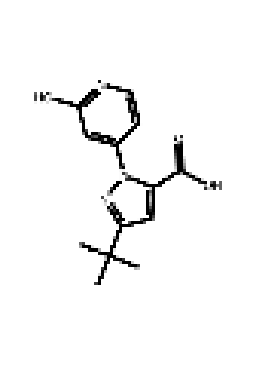 CC(C)(C)c1cc(C(=O)O)n(-c2ccnc(O)c2)n1